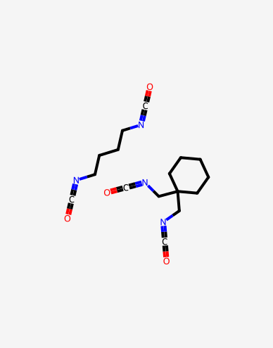 O=C=NCC1(CN=C=O)CCCCC1.O=C=NCCCCN=C=O